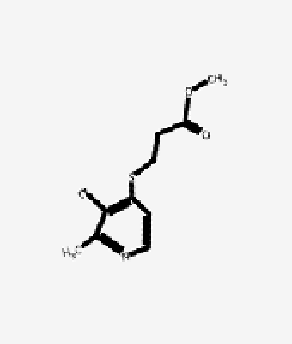 COC(=O)CCSc1ccnc(C)c1Cl